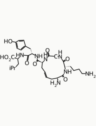 CC(C)C[C@H](NC(=O)[C@H](Cc1ccc(O)cc1)NC(=O)[C@@H]1C/C=C/C[C@H](N)C(=O)N[C@@H](CCCCN)C(=O)NCC(=O)N1)C(=O)O